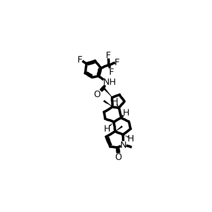 CN1C(=O)C=C[C@]2(C)[C@H]3CC[C@]4(C)[C@@H](C(=O)Nc5ccc(F)cc5C(F)(F)F)CC[C@H]4[C@@H]3CC[C@@H]12